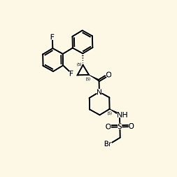 O=C([C@H]1C[C@@H]1c1ccccc1-c1c(F)cccc1F)N1CCC[C@H](NS(=O)(=O)CBr)C1